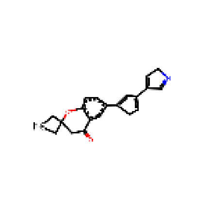 CCC1(CC)CC(=O)c2cc(C3=CC(C4=CCN=C4)=CC3)ccc2O1